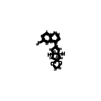 Fc1ccc2nccc(C3=C[C@H]4CC5(C[C@H]4C3)OCCO5)c2c1